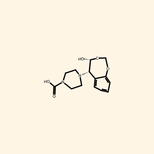 O=C(O)N1CCN([C@H]2c3ccccc3OCC[C@H]2O)CC1